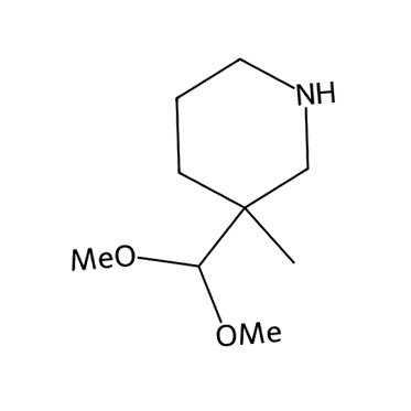 COC(OC)C1(C)CCCNC1